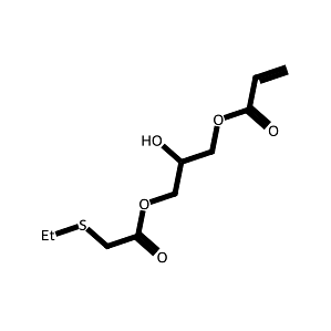 C=CC(=O)OCC(O)COC(=O)CSCC